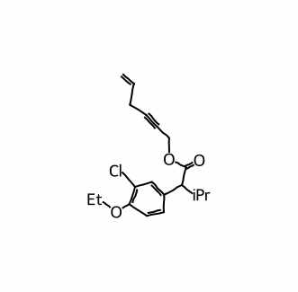 C=CCC#CCOC(=O)C(c1ccc(OCC)c(Cl)c1)C(C)C